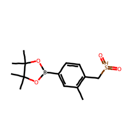 Cc1cc(B2OC(C)(C)C(C)(C)O2)ccc1C[SH](=O)=O